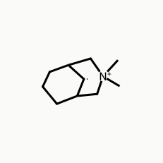 C[N+]1(C)CC2[CH]C(CCC2)C1